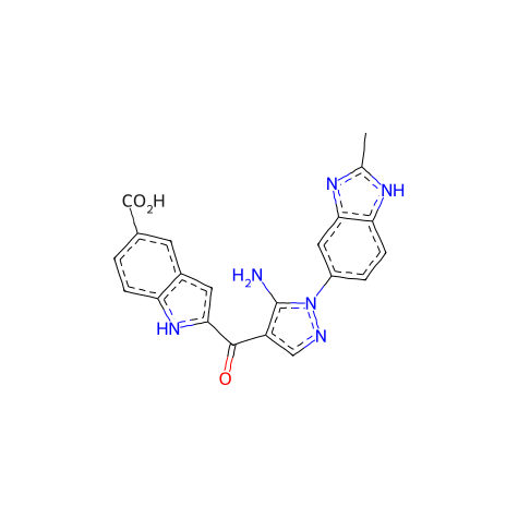 Cc1nc2cc(-n3ncc(C(=O)c4cc5cc(C(=O)O)ccc5[nH]4)c3N)ccc2[nH]1